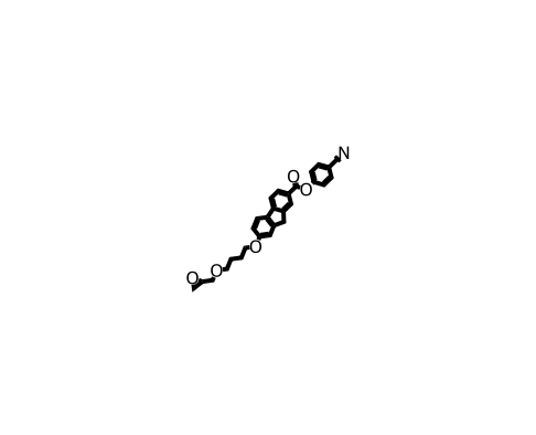 N#Cc1ccc(OC(=O)c2ccc3c(c2)Cc2cc(OCCCCOCC4CO4)ccc2-3)cc1